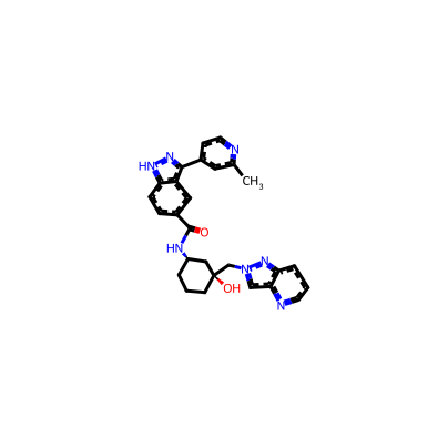 Cc1cc(-c2n[nH]c3ccc(C(=O)N[C@@H]4CCC[C@@](O)(Cn5cc6ncccc6n5)C4)cc23)ccn1